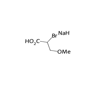 COCC(Br)C(=O)O.[NaH]